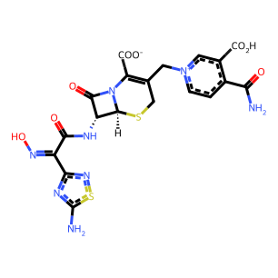 NC(=O)c1cc[n+](CC2=C(C(=O)[O-])N3C(=O)[C@@H](NC(=O)/C(=N\O)c4nsc(N)n4)[C@@H]3SC2)cc1C(=O)O